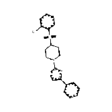 O=S(=O)(c1ccccc1Br)C1CCN(c2nc(-c3ccccc3)cs2)CC1